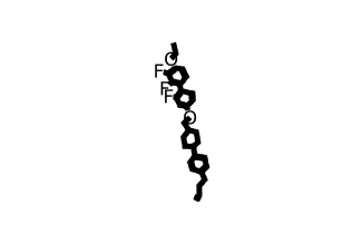 C=CCCc1ccc(C2CCC(COc3ccc(-c4ccc(OCC)c(F)c4F)c(F)c3)CC2)cc1